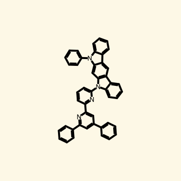 c1ccc(-c2cc(-c3ccccc3)nc(-c3cccc(-n4c5ccccc5c5cc6c7ccccc7n(-c7ccccc7)c6cc54)n3)c2)cc1